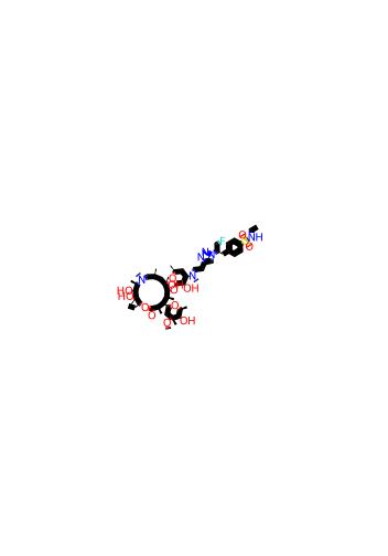 CCNS(=O)(=O)c1ccc(C[C@@H](CF)n2cc(CCN(C)[C@H]3C[C@@H](C)O[C@@H](O[C@@H]4[C@@H](C)[C@H](C5C[C@@](C)(OC)[C@@H](O)[C@H](C)O5)[C@@H](C)C(=O)O[C@H](CC)[C@@](C)(O)[C@H](O)[C@@H](C)N(C)C[C@H](C)C[C@@]4(C)O)[C@@H]3O)nn2)cc1